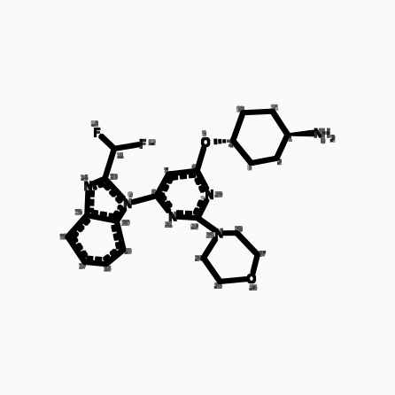 N[C@H]1CC[C@H](Oc2cc(-n3c(C(F)F)nc4ccccc43)nc(N3CCOCC3)n2)CC1